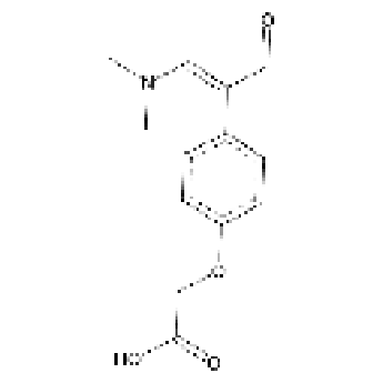 CN(C)/C=C(/C=O)c1ccc(OCC(=O)O)cc1